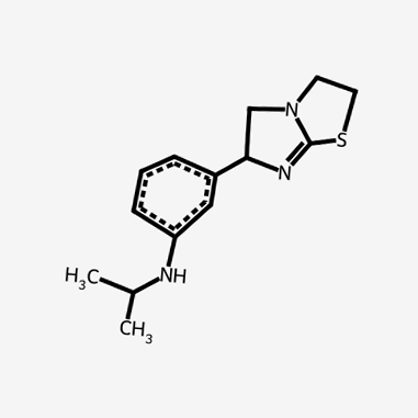 CC(C)Nc1cccc(C2CN3CCSC3=N2)c1